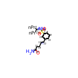 CCCC(CCC)NS(=O)(=O)c1cccc(/C=C/CCC(N)=O)c1